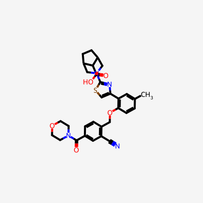 Cc1ccc(OCc2ccc(C(=O)N3CCOCC3)cc2C#N)c(-c2csc(N3CC4CCC(C3)C4C(=O)O)n2)c1